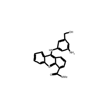 CNC(=O)c1cccc2c(Nc3cc(N)cc(CO)c3)c3ccccc3nc12